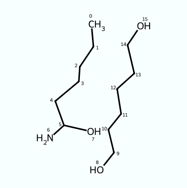 CCCCCC(N)O.OCCCCCCO